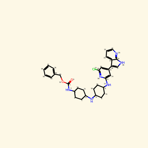 O=C(NC1CCC(NC2CCC(Nc3cc(-c4c[nH]c5ncccc45)cc(Cl)n3)CC2)CC1)OCc1ccccc1